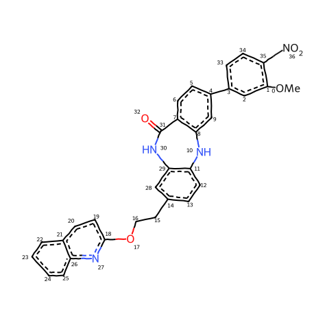 COc1cc(-c2ccc3c(c2)Nc2ccc(CCOc4ccc5ccccc5n4)cc2NC3=O)ccc1[N+](=O)[O-]